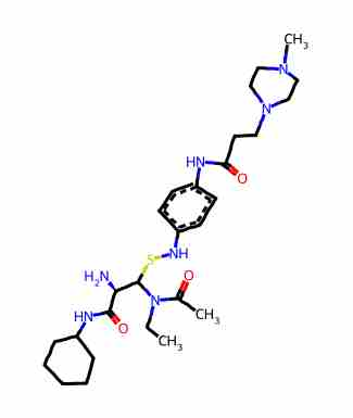 CCN(C(C)=O)C(SNc1ccc(NC(=O)CCN2CCN(C)CC2)cc1)[C@H](N)C(=O)NC1CCCCC1